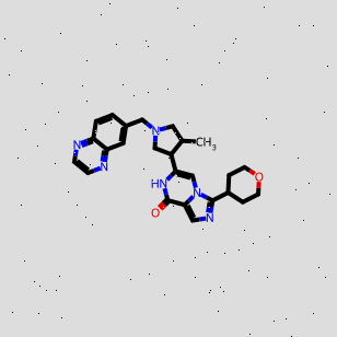 CC1CN(Cc2ccc3nccnc3c2)CC1c1cn2c(C3CCOCC3)ncc2c(=O)[nH]1